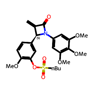 C=C1C(=O)N(c2cc(OC)c(OC)c(OC)c2)[C@H]1c1ccc(OC)c(OS(=O)(=O)CCCC)c1